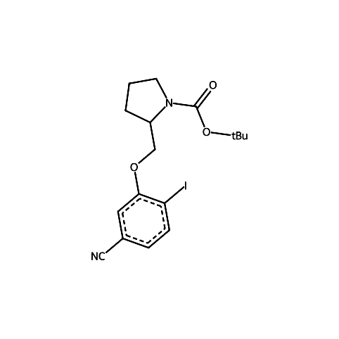 CC(C)(C)OC(=O)N1CCCC1COc1cc(C#N)ccc1I